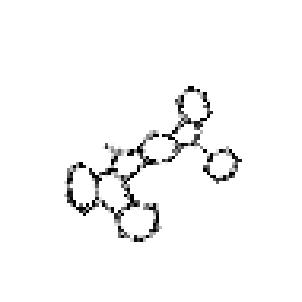 c1ccc(-n2c3ccccc3c3cc4[nH]c5c6ccccc6c6ccccc6c5c4cc32)cc1